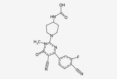 Cn1c(N2CCC(NC(=O)O)CC2)nc(-c2ccc(C#N)c(F)c2)c(C#N)c1=O